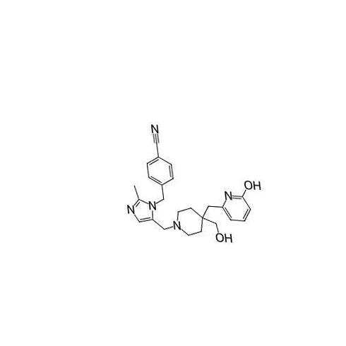 Cc1ncc(CN2CCC(CO)(Cc3cccc(O)n3)CC2)n1Cc1ccc(C#N)cc1